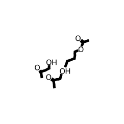 CC(=O)CO.CC(=O)CO.CCCCOC(C)=O